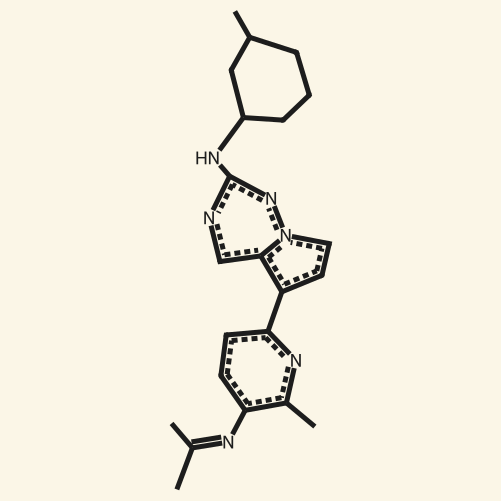 CC(C)=Nc1ccc(-c2ccn3nc(NC4CCCC(C)C4)ncc23)nc1C